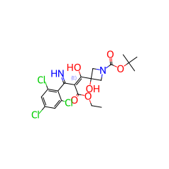 CCOC(=O)/C(C(=N)c1c(Cl)cc(Cl)cc1Cl)=C(/O)C1(O)CN(C(=O)OC(C)(C)C)C1